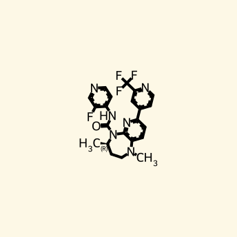 C[C@@H]1CCN(C)c2ccc(-c3ccnc(C(F)(F)F)c3)nc2N1C(=O)Nc1ccncc1F